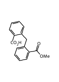 COC(=O)c1ccccc1Cc1ccccc1C(=O)O